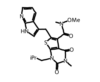 CON(C)C(=O)c1c(Cc2c[nH]c3ncccc23)sc2c1c(=O)n(C)c(=O)n2CC(C)C